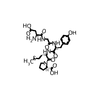 CSCC[C@H](NC(=O)[C@H](Cc1ccc(O)cc1)NC(=O)CNC(=O)[C@@H](N)CC(=O)O)C(=O)N1CCC[C@H]1C(=O)O